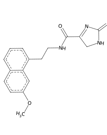 COc1ccc2cccc(CCNC(=O)C3=NC(=O)NC3)c2c1